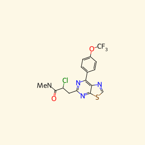 CNC(=O)C(Cl)Cc1nc(-c2ccc(OC(F)(F)F)cc2)c2ncsc2n1